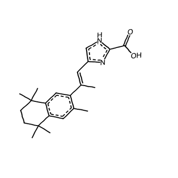 C/C(=C\c1c[nH]c(C(=O)O)n1)c1cc2c(cc1C)C(C)(C)CCC2(C)C